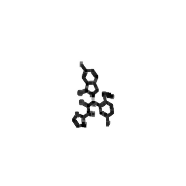 COc1ccc(F)cc1[C@H](C(=O)Nc1nccs1)N1Cc2ccc(I)cc2C1=O